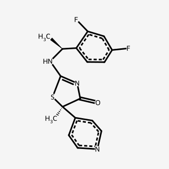 C[C@H](NC1=NC(=O)[C@@](C)(c2ccncc2)S1)c1ccc(F)cc1F